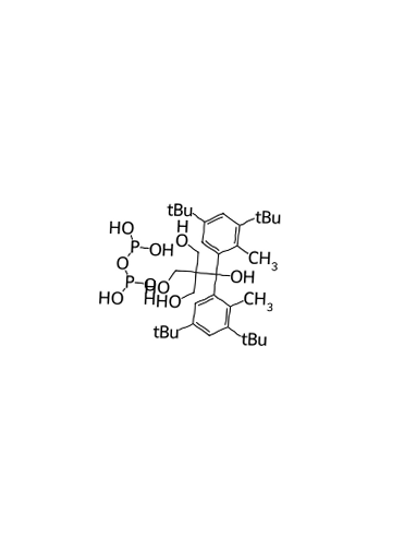 Cc1c(C(C)(C)C)cc(C(C)(C)C)cc1C(O)(c1cc(C(C)(C)C)cc(C(C)(C)C)c1C)C(CO)(CO)CO.OP(O)OP(O)O